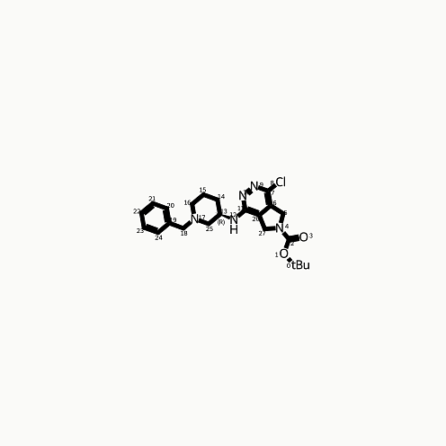 CC(C)(C)OC(=O)N1Cc2c(Cl)nnc(N[C@@H]3CCCN(Cc4ccccc4)C3)c2C1